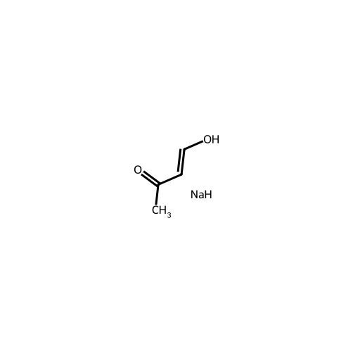 CC(=O)C=CO.[NaH]